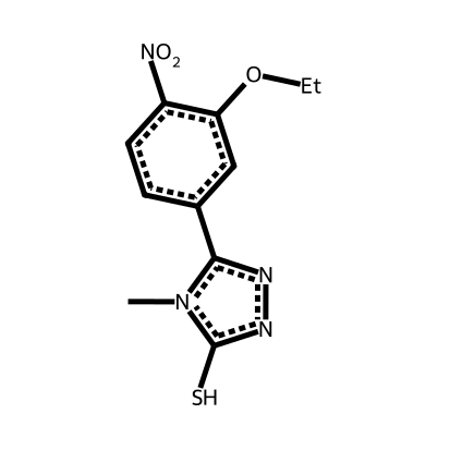 CCOc1cc(-c2nnc(S)n2C)ccc1[N+](=O)[O-]